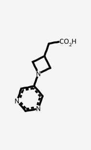 O=C(O)CC1CN(c2cncnc2)C1